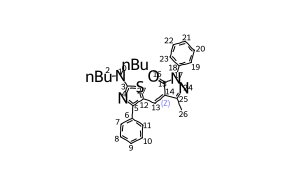 CCCCN(CCCC)c1nc(-c2ccccc2)c(/C=C2\C(=O)N(c3ccccc3)N=C2C)s1